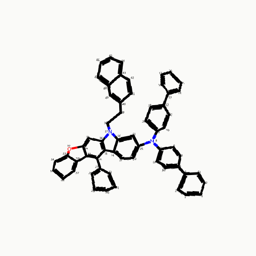 c1ccc(-c2ccc(N(c3ccc(-c4ccccc4)cc3)c3ccc4c5c(-c6ccccc6)c6c(cc5n(CCc5ccc7ccccc7c5)c4c3)oc3ccccc36)cc2)cc1